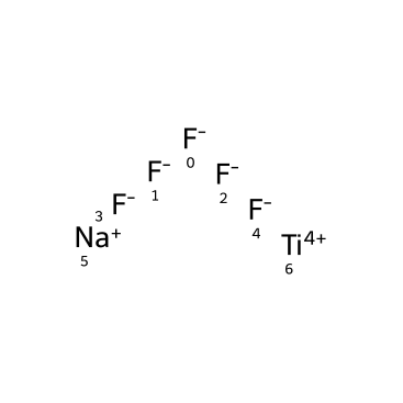 [F-].[F-].[F-].[F-].[F-].[Na+].[Ti+4]